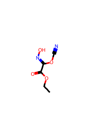 CCOC(=O)C(=NO)OC#N